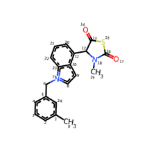 Cc1cccc(Cn2ccc3c(C4C(=O)SC(=O)N4C)cccc32)c1